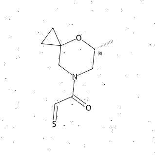 C[C@@H]1CN(C(=O)C=S)CC2(CC2)O1